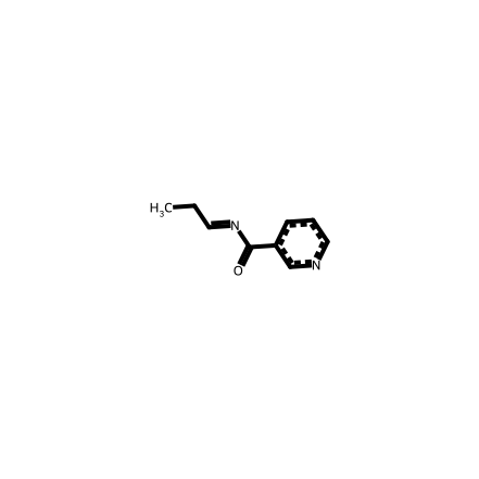 CCC=NC(=O)c1cccnc1